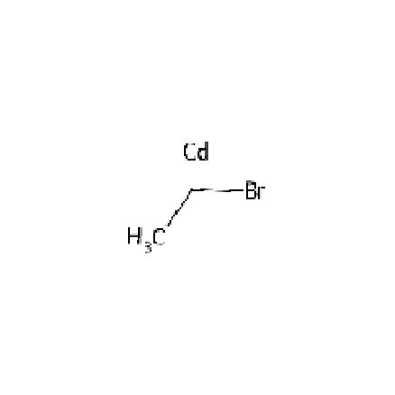 CCBr.[Cd]